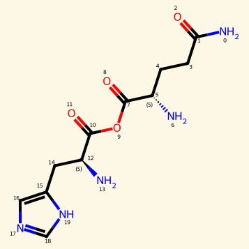 NC(=O)CC[C@H](N)C(=O)OC(=O)[C@@H](N)Cc1cnc[nH]1